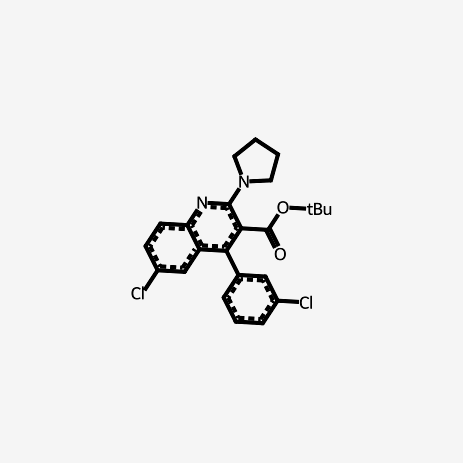 CC(C)(C)OC(=O)c1c(N2CCCC2)nc2ccc(Cl)cc2c1-c1cccc(Cl)c1